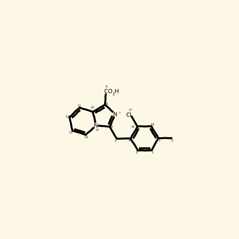 Cc1ccc(Cc2nc(C(=O)O)c3ccccn23)c(Cl)c1